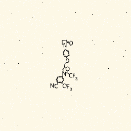 N#Cc1ccc(N2CC(COc3ccc(N4CCCC4=O)cc3)OC2C(F)(F)F)cc1C(F)(F)F